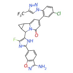 Nc1noc2cc(-c3nc(F)c(C4C5CC5c5cc(-c6cc(Cl)ccc6-n6cc(C(F)(F)F)nn6)cc(=O)n54)[nH]3)ccc12